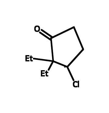 CCC1(CC)[C](Cl)CCC1=O